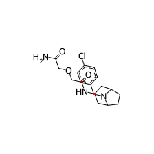 NC(=O)COCC(=O)NC1CC2CCC(C1)N2Cc1ccc(Cl)cc1